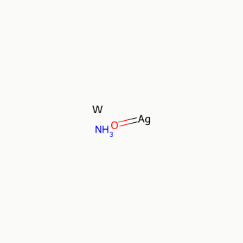 N.[O]=[Ag].[W]